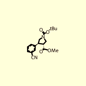 COC(=O)[C@H]1CN(C(=O)OC(C)(C)C)C[C@@H]1c1cccc(C#N)c1